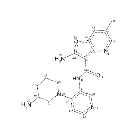 Cc1cnc2c(C(=O)Nc3cnccc3N3CCCC(N)C3)c(N)oc2c1